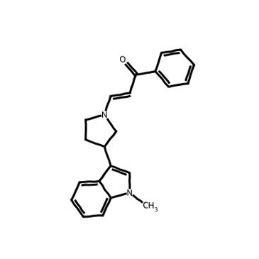 Cn1cc(C2CCN(C=CC(=O)c3ccccc3)C2)c2ccccc21